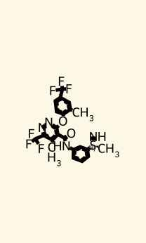 Cc1cc(C(F)(F)F)ccc1Oc1nnc(C(F)(F)F)c(C)c1C(=O)Nc1cccc([S@](C)=N)c1